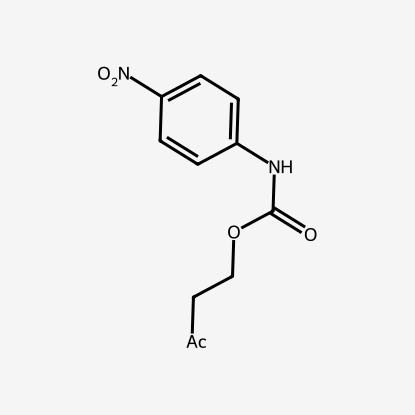 CC(=O)CCOC(=O)Nc1ccc([N+](=O)[O-])cc1